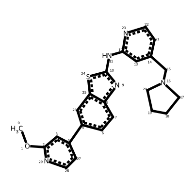 COc1cc(-c2ccc3nc(Nc4cc(CN5CCCC5)ccn4)sc3c2)ccn1